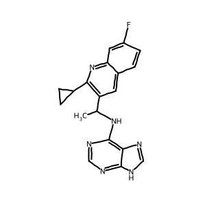 CC(Nc1ncnc2[nH]cnc12)c1cc2ccc(F)cc2nc1C1CC1